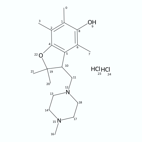 Cc1c(C)c2c(c(C)c1O)C(CN1CCN(C)CC1)C(C)(C)O2.Cl.Cl